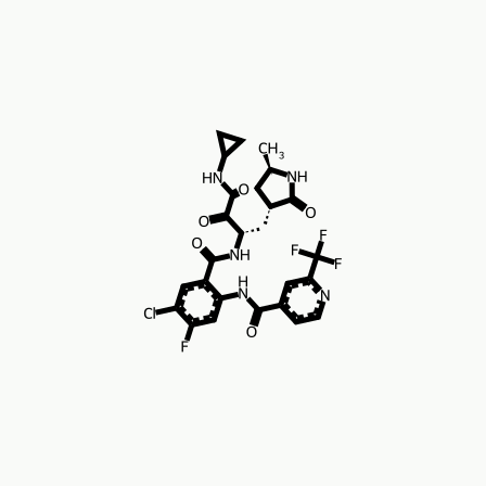 C[C@@H]1C[C@@H](C[C@H](NC(=O)c2cc(Cl)c(F)cc2NC(=O)c2ccnc(C(F)(F)F)c2)C(=O)C(=O)NC2CC2)C(=O)N1